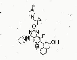 Oc1cc(-c2c(Cl)cc3c(N4CC5CCC(C4)N5)nc(OCC4(CN5CC[C@@H](F)C5)CC4)nc3c2F)c2c(F)cccc2c1